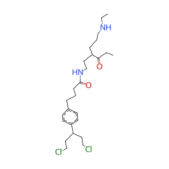 CCNCCCC(CCNC(=O)CCCc1ccc(C(CCCl)CCCl)cc1)C(=O)CC